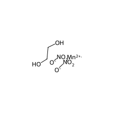 O=[N+]([O-])[O-].O=[N+]([O-])[O-].OCCO.[Mn+2]